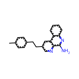 Cc1ccc(CCc2cnc3c(N)nc4ccccc4c3c2)cc1